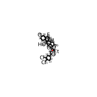 CCC(=O)O[C@]1(C(=O)SCC(=O)c2ccc(Cl)c(Cl)c2)[C@H](C)C[C@H]2[C@@H]3C[C@H](F)C4=CC(=O)C=C[C@]4(C)[C@@]3(F)[C@@H](O)C[C@@]21C